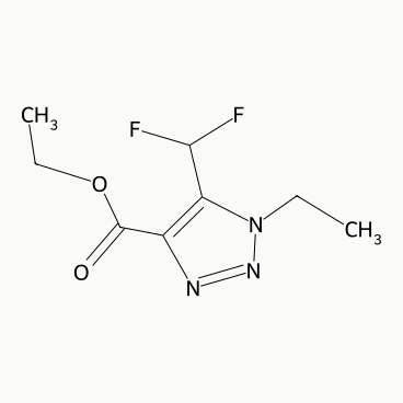 CCOC(=O)c1nnn(CC)c1C(F)F